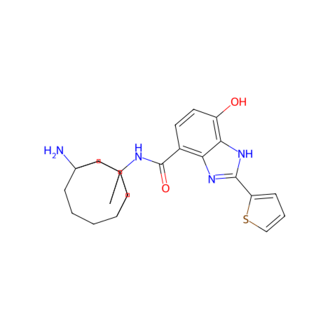 NC12CCCC3CC(C1)CC(NC(=O)c1ccc(O)c4[nH]c(-c5cccs5)nc14)(C3)C2